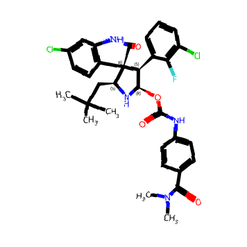 CN(C)C(=O)c1ccc(NC(=O)O[C@H]2N[C@@H](CC(C)(C)C)[C@@]3(C(=O)Nc4cc(Cl)ccc43)[C@H]2c2cccc(Cl)c2F)cc1